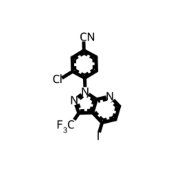 N#Cc1ccc(-n2nc(C(F)(F)F)c3c(I)ccnc32)c(Cl)c1